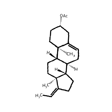 C/C=C1/CC[C@H]2[C@@H]3CC=C4C[C@@H](OC(C)=O)CC[C@]4(C)[C@H]3CC[C@]12C